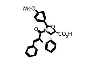 COc1ccc(C2O[C@@H](C(=O)O)[C@H](c3ccccc3)N2C(=O)C(C)=Cc2ccccc2)cc1